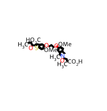 COc1cc2c(cc1OCCCOc1cc3cc(C(=O)C[C@H](C)C(=O)O)sc3cc1OC)C(C)N(C(=O)CC(C)C(=O)O)C2